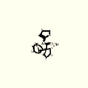 Cl.O=C(Oc1cccs1)C1(C2CN3CCC2CC3)CCCC1